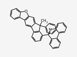 CC1(c2ccccc2)c2cc3oc4ccccc4c3cc2-c2cccc(-c3nc4ccccc4c4ccccc34)c21